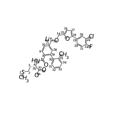 CSCC[C@H](NC(=O)c1ccc(COCc2ccc(-c3ccc(F)c(Cl)c3)o2)cc1-c1ccccc1C)C(=O)[O-].[Li+]